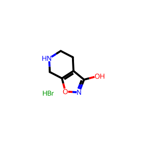 Br.Oc1noc2c1CCNC2